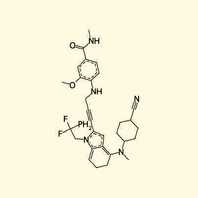 CNC(=O)c1ccc(NCC#Cc2cc3c(n2CC(F)(F)P)=CCCC=3N(C)C2CCC(C#N)CC2)c(OC)c1